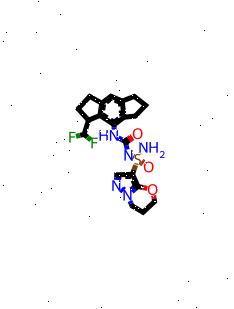 NS(=O)(=NC(=O)Nc1c2c(cc3c1C(C(F)F)CC3)CCC2)c1cnn2c1OCCC2